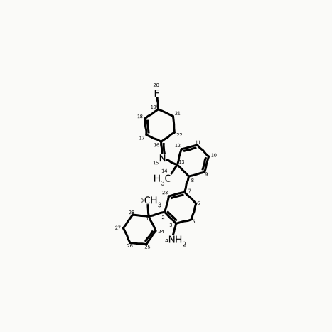 CC1(C2=C(N)CCC(C3C=CC=CC3(C)/N=C3/C=CC(F)CC3)=C2)C=CCCC1